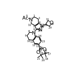 CC(=O)N1CCc2c(c(N3CCCc4cc(B5OC(C)(C)C(C)(C)O5)ccc43)nn2C2COC2)C1